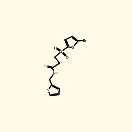 O=C(CCS(=O)(=O)c1ccc(Br)s1)NCc1cccs1